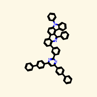 c1ccc(-c2ccc(-c3cc(-c4ccc(-c5ccccc5)cc4)nc(-c4cccc(-c5cccc6c5nc(-c5ccccc5)c5c6ccc6c5c5ccccc5n6-c5ccccc5)c4)n3)cc2)cc1